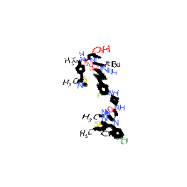 Cc1ncsc1-c1ccc([C@H](C)NC(=O)[C@@H]2C[C@@H](O)CN2C(=O)[C@@H](NC(=O)CCc2cc(F)cc(N[C@H]3C[C@@H](NC(=O)C[C@@H]4N=C(c5ccc(Cl)cc5)c5c(sc(C)c5C)-n5c(C)nnc54)C3)c2)C(C)(C)C)cc1